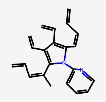 C=C/C=C\c1c(C=C)c(C=C)c(/C(C)=C\C=C)n1-c1ccccn1